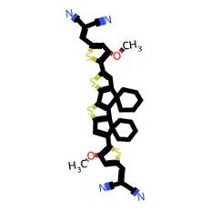 COc1cc(C=C(C#N)C#N)sc1C1=Cc2sc3c(c2C12CCCCC2)C1(CCCCC1)c1cc(-c2sc(C=C(C#N)C#N)cc2OC)sc1-3